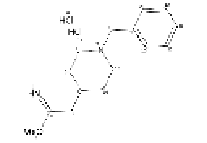 COC(=N)CC1CCN(Cc2ccccc2)CC1.Cl.Cl